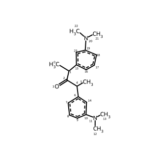 CC(C(=O)C(C)c1cccc(N(C)C)c1)c1cccc(N(C)C)c1